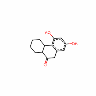 O=C1Cc2cc(O)cc(O)c2C2CCCCC12